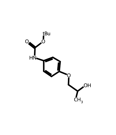 CC(O)COc1ccc(NC(=O)OC(C)(C)C)cc1